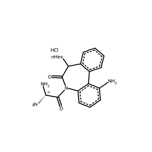 CCCCCCC1C(=O)N(C(=O)[C@@H](N)C(C)C)c2cccc(N)c2-c2ccccc21.Cl